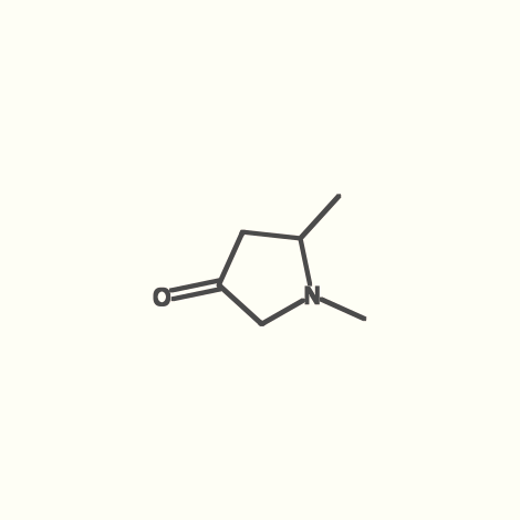 CC1CC(=O)CN1C